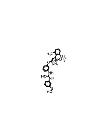 CNC(/C=C(\N)Oc1cccc(NC(O)Nc2cccc(SO)c2)c1)c1c(C)cccc1C